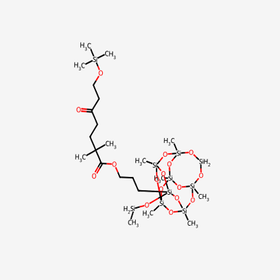 C[SiH2]O[Si]1(CCCOC(=O)C(C)(C)CCC(=O)CCO[Si](C)(C)C)O[Si]2(C)O[Si]3(C)O[SiH2]O[Si]4(C)O[Si](C)(O3)O[Si](C)(O2)O[Si](C)(O4)O1